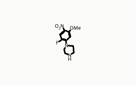 COc1cc(N2CCNCC2)c(F)cc1[N+](=O)[O-]